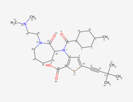 CC1CCC(C(=O)N(c2cc(C#CC(C)(C)C)sc2C(=O)O)C2CCCCN(CCN(C)C)C2=O)CC1